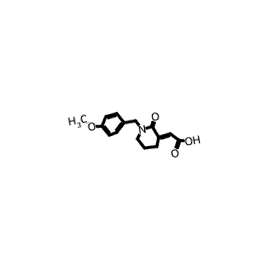 COc1ccc(CN2CCCC(=CC(=O)O)C2=O)cc1